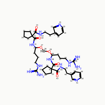 N=C(N)NCCCC(NC(=O)C1(C(=O)NCCc2cccnc2)CCCC1)OBOC(CCCNC(=N)N)NC(=O)C1(C(=O)NCCc2cccnc2)CCCC1